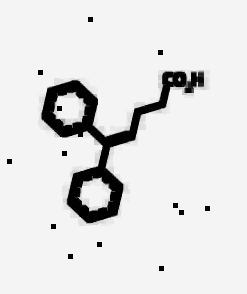 O=C(O)CCC=C(c1ccccc1)c1ccccc1